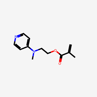 C=C(C)C(=O)OCCN(C)c1ccncc1